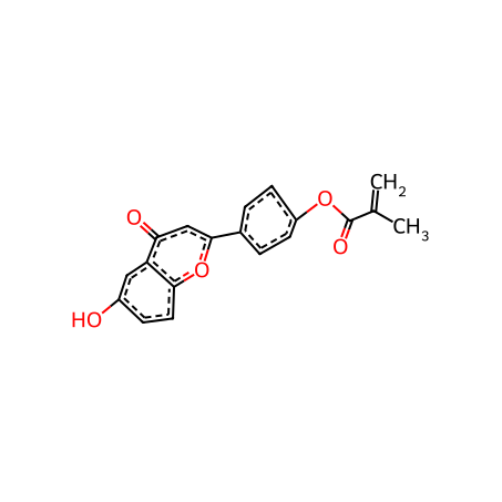 C=C(C)C(=O)Oc1ccc(-c2cc(=O)c3cc(O)ccc3o2)cc1